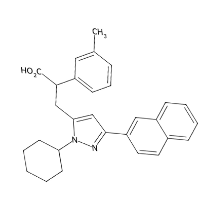 Cc1cccc(C(Cc2cc(-c3ccc4ccccc4c3)nn2C2CCCCC2)C(=O)O)c1